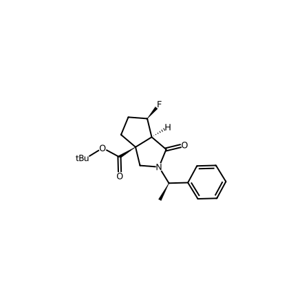 C[C@H](c1ccccc1)N1C[C@]2(C(=O)OC(C)(C)C)CC[C@@H](F)[C@H]2C1=O